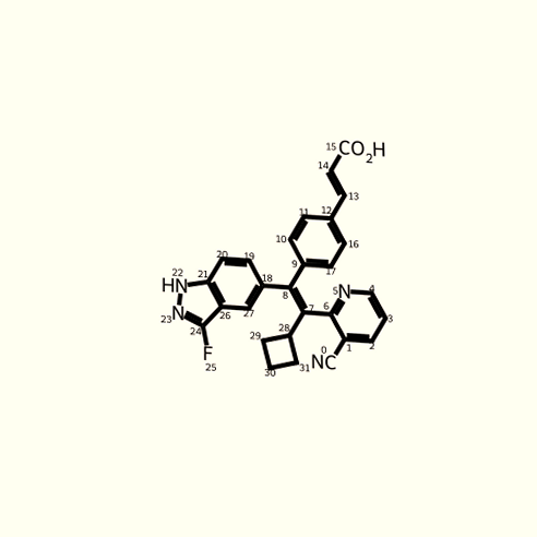 N#Cc1cccnc1C(=C(c1ccc(C=CC(=O)O)cc1)c1ccc2[nH]nc(F)c2c1)C1CCC1